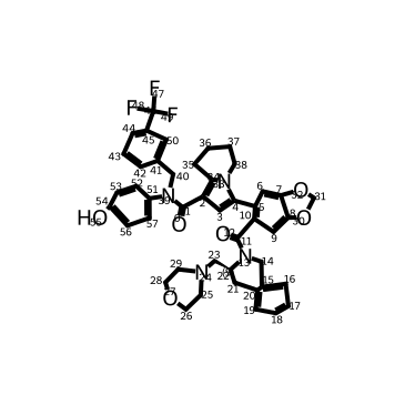 O=C(c1cc(-c2cc3c(cc2C(=O)N2Cc4ccccc4C[C@H]2CN2CCOCC2)OCO3)n2c1CCCC2)N(Cc1cccc(C(F)(F)F)c1)c1ccc(O)cc1